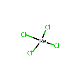 [Cl][Re]([Cl])([Cl])[Cl]